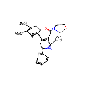 COc1ccc(-c2cc(-c3ccccc3)nc(C)c2C(=O)N2CCOCC2)cc1OC